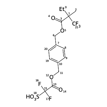 CCC(C)(C(=O)OCc1ccc(COC(=O)C(F)(F)S(=O)(=O)O)cc1)C(F)(F)F